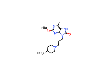 CCCCOc1nc(C)c2[nH]c(=O)n(CCCN3CCC(C(=O)O)CC3)c2n1